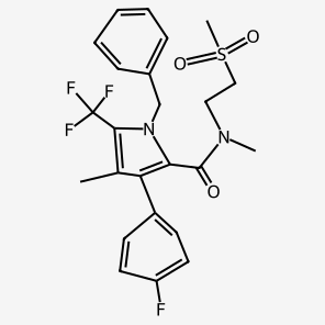 Cc1c(-c2ccc(F)cc2)c(C(=O)N(C)CCS(C)(=O)=O)n(Cc2ccccc2)c1C(F)(F)F